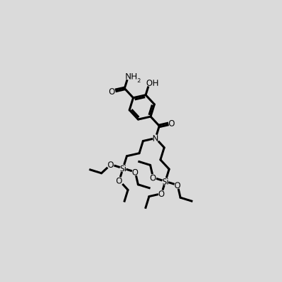 CCO[Si](CCCN(CCC[Si](OCC)(OCC)OCC)C(=O)c1ccc(C(N)=O)c(O)c1)(OCC)OCC